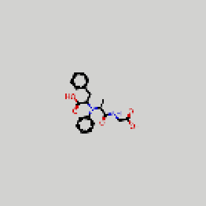 C[C@@H](C(=O)NCC(=O)O)N(c1ccccc1)C(Cc1ccccc1)C(=O)O